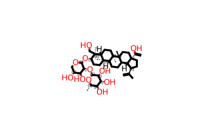 C=C(C)[C@@H]1CC[C@]2(C(=C)O)CC[C@]3(C)C(CC[C@@H]4[C@@]5(C)CC[C@H](O[C@@H]6OC[C@H](O)[C@H](O)[C@H]6O[C@@H]6O[C@@H](C)[C@H](O)[C@@H](O)[C@H]6O)[C@@](C)(CO)[C@@H]5CC[C@]43C)[C@@H]12